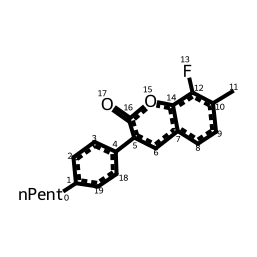 CCCCCc1ccc(-c2cc3ccc(C)c(F)c3oc2=O)cc1